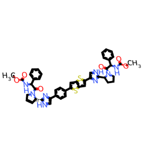 COC(=O)NC(C(=O)N1CCCC1c1nc(-c2cc3sc(-c4ccc(-c5c[nH]c([C@@H]6C=CCN6C(=O)C(NC(=O)OC)c6ccccc6)n5)cc4)cc3s2)c[nH]1)c1ccccc1